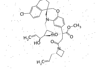 C=CC[C@H]1CCN1C(=O)C[C@](O)(C(=O)OC)c1ccc2c(c1)N(C[C@@H]1CC[C@H]1[C@@H](O)C=C)C[C@@]1(CCCc3cc(Cl)ccc31)CO2